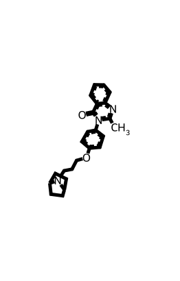 Cc1nc2ccccc2c(=O)n1-c1ccc(OCCCN2C3CCC2CC3)cc1